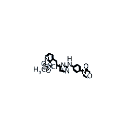 CN(c1ncccc1CCc1ccnc(Nc2ccc(N3CCOCC3=O)cc2)n1)S(C)(=O)=O